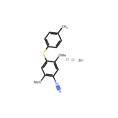 COc1cc(Sc2ccc(C)cc2)c(OC)cc1[N+]#N.[Cl-].[Cl-].[Zn+]